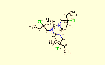 CCC(C)(Cl)CN1BN(CC(C)(Cl)CC)BN(CC(C)(Cl)CC)B1